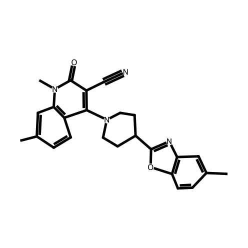 Cc1ccc2oc(C3CCN(c4c(C#N)c(=O)n(C)c5cc(C)ccc45)CC3)nc2c1